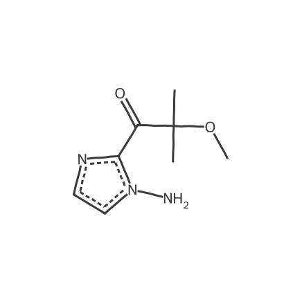 COC(C)(C)C(=O)c1nccn1N